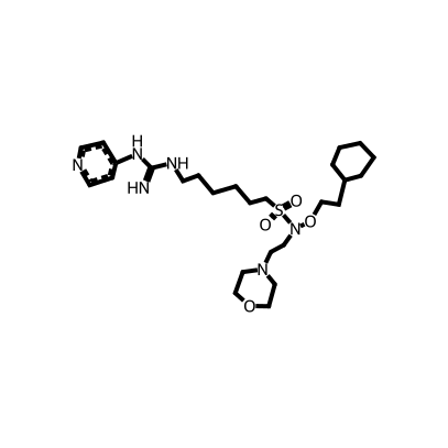 N=C(NCCCCCCS(=O)(=O)N(CCN1CCOCC1)OCCC1CCCCC1)Nc1ccncc1